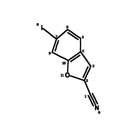 N#Cc1cc2ccc(I)cc2o1